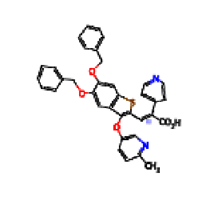 Cc1ccc(Oc2c(/C=C(/C(=O)O)c3ccncc3)sc3cc(OCc4ccccc4)c(OCc4ccccc4)cc23)cn1